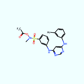 CC(=O)c1cccc(Nc2cc(Nc3cccc(S(=O)(=O)N(C)OC(=O)C(F)(F)F)c3)ncn2)c1